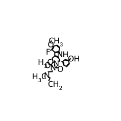 C=CCN(C)CCN1C(=O)N2[C@H](c3cccc(O)c3)c3[nH]c4ccc(OC)c(F)c4c3C[C@@]2(C)C1=O